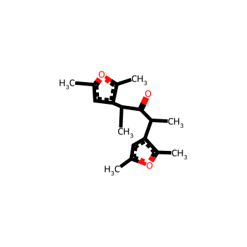 Cc1cc(C(C)C(=O)C(C)c2cc(C)oc2C)c(C)o1